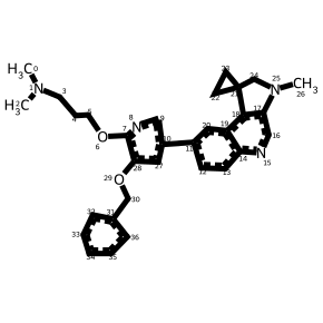 CN(C)CCCOc1ncc(-c2ccc3ncc4c(c3c2)C2(CC2)CN4C)cc1OCc1ccccc1